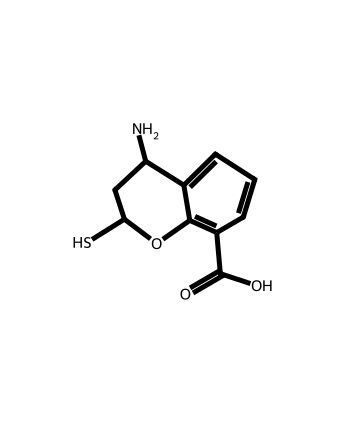 NC1CC(S)Oc2c(C(=O)O)cccc21